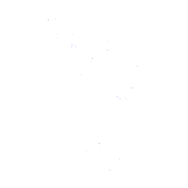 C[C@H](CN[C@@H](O)C(=O)O)Oc1ccccc1CCCNC(=O)OCc1ccccc1